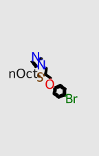 CCCCCCCCSC(COc1ccc(Br)cc1)Cn1ccnc1